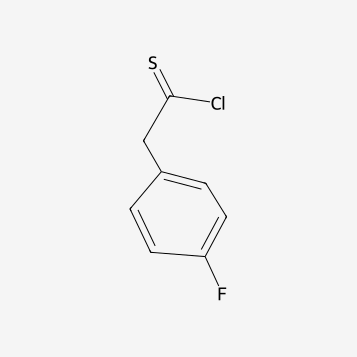 Fc1ccc(CC(=S)Cl)cc1